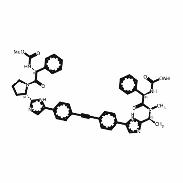 COC(=O)N[C@@H](C(=O)N(C)[C@@H](C)c1ncc(-c2ccc(C#Cc3ccc(-c4cnc([C@@H]5CCCN5C(=O)[C@H](NC(=O)OC)c5ccccc5)[nH]4)cc3)cc2)[nH]1)c1ccccc1